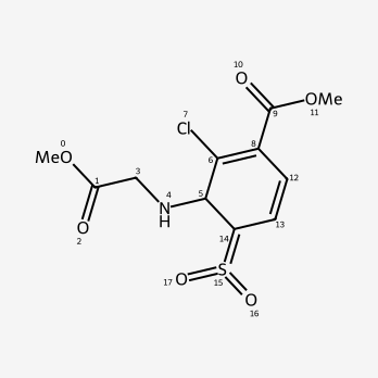 COC(=O)CNC1C(Cl)=C(C(=O)OC)C=CC1=S(=O)=O